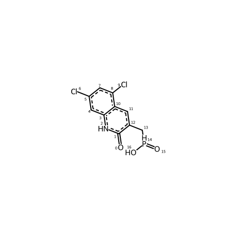 O=c1[nH]c2cc(Cl)cc(Cl)c2cc1C[PH](=O)O